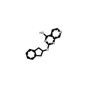 Oc1nc(OC2Cc3ccccc3C2)nc2cnccc12